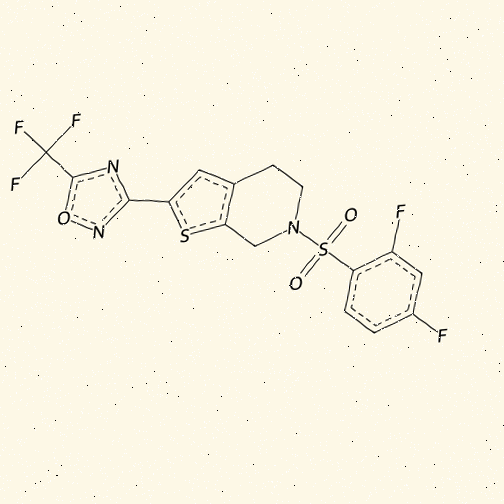 O=S(=O)(c1ccc(F)cc1F)N1CCc2cc(-c3noc(C(F)(F)F)n3)sc2C1